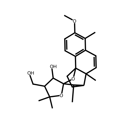 COc1ccc2c(c1C)C=CC1(C)C3CCC21OC1(OC(C)(C)C(CO)C1O)C3C